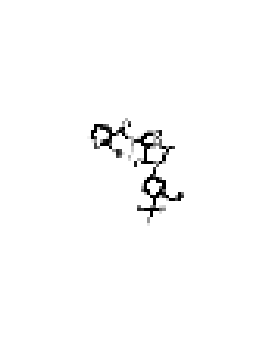 C[C@H]1CN(c2ccc(C(F)(F)F)c(CF)c2)C(=O)c2c(NC(=O)c3cccnc3N)cnn21